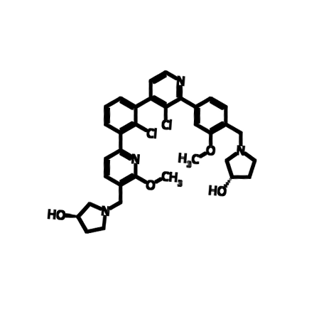 COc1cc(-c2nccc(-c3cccc(-c4ccc(CN5CC[C@@H](O)C5)c(OC)n4)c3Cl)c2Cl)ccc1CN1CC[C@H](O)C1